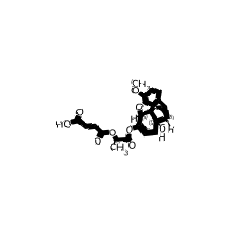 COc1ccc2c3c1O[C@@H]1C(OC(=O)[C@H](C)OC(=O)CCC(=O)O)=CC[C@]4(O)[C@@H](CCC[C@@]314)C2